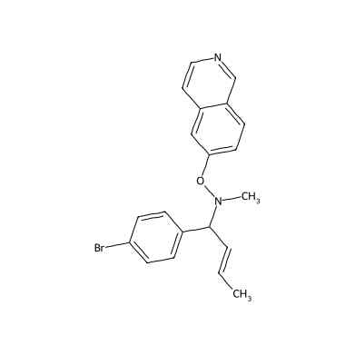 CC=CC(c1ccc(Br)cc1)N(C)Oc1ccc2cnccc2c1